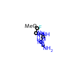 COc1cc(F)cc(-c2cccc3[nH]c(-c4n[nH]c5cnc(-c6cncc(N7CC(N)C7)n6)cc45)nc23)c1